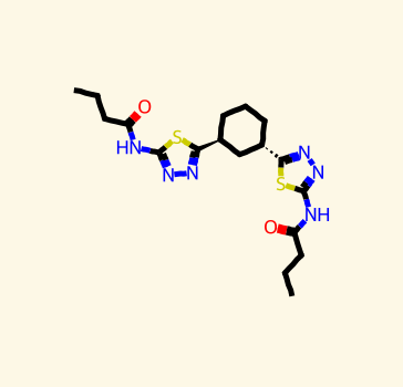 CCCC(=O)Nc1nnc([C@H]2CCC[C@H](c3nnc(NC(=O)CCC)s3)C2)s1